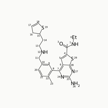 CCNC(=O)c1cc2c(-c3cc(CNCCC4CC=CS4)ccc3C)nc(N)nc2s1